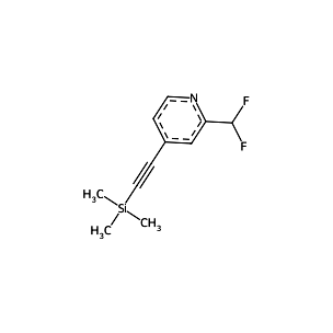 C[Si](C)(C)C#Cc1ccnc(C(F)F)c1